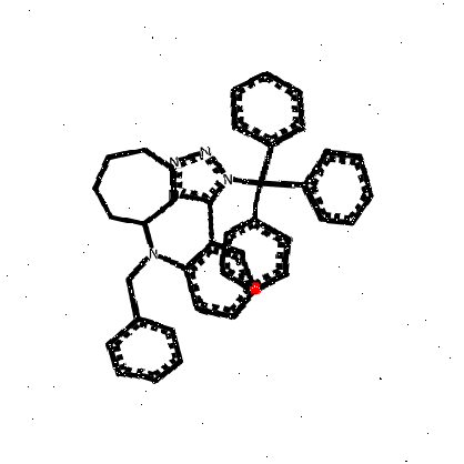 c1ccc(CN(c2ccccc2-c2nnnn2C(c2ccccc2)(c2ccccc2)c2ccccc2)C2CCCCCC2)cc1